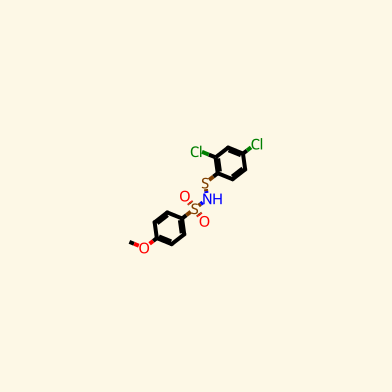 COc1ccc(S(=O)(=O)NSc2ccc(Cl)cc2Cl)cc1